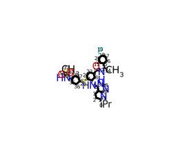 CC(C)c1ccc2c(Nc3cc(C(=O)NC(C)c4ccc(F)cc4)ccc3Sc3ccc(NS(C)(=O)=O)cc3)ncnc2n1